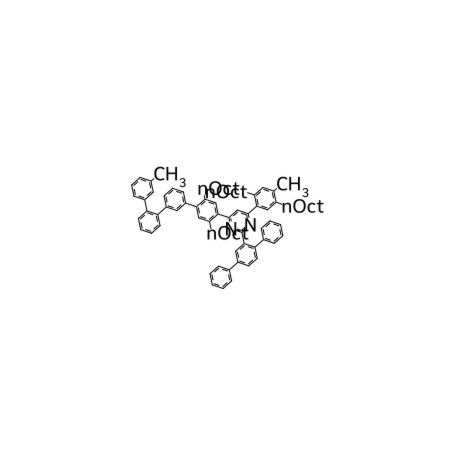 CCCCCCCCc1cc(-c2cc(-c3cc(CCCCCCCC)c(-c4cccc(-c5ccccc5-c5cccc(C)c5)c4)cc3CCCCCCCC)nc(-c3cc(-c4ccccc4)ccc3-c3ccccc3)n2)c(CCCCCCCC)cc1C